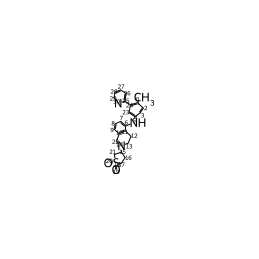 Cc1ccc(Nc2cccc3c2CCN(C2CCS(=O)(=O)C2)C3)cc1-c1ccccn1